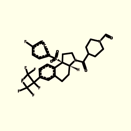 O=CN1CCC(C(=O)N2CC[C@]3(S(=O)(=O)c4ccc(F)cc4)c4ccc(C(F)(C(F)(F)F)C(F)(F)F)cc4CC[C@H]23)CC1